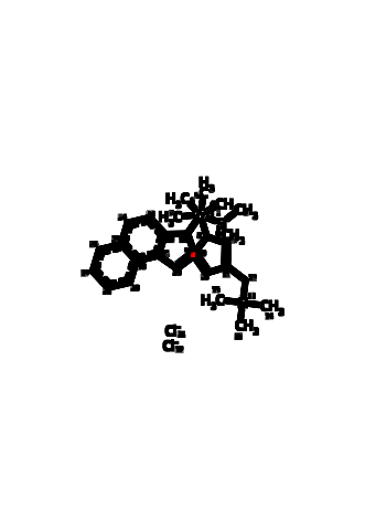 C[SiH](C)[Zr]([CH3])([CH3])([CH3])([CH3])([CH]1C=CC(C[Si](C)(C)C)=C1)[CH]1C=Cc2c1ccc1ccccc21.[Cl-].[Cl-]